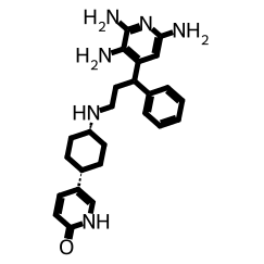 Nc1cc(C(CCN[C@H]2CC[C@@H](c3ccc(=O)[nH]c3)CC2)c2ccccc2)c(N)c(N)n1